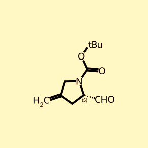 C=C1C[C@@H](C=O)N(C(=O)OC(C)(C)C)C1